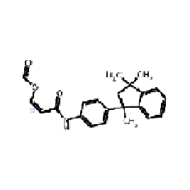 CC1(C)CC(C)(c2ccc(NC(=O)/C=C\OC=O)cc2)c2ccccc21